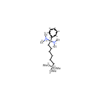 CCN(CC)[Si](CCCCCC[Si](OC)(OC)OC)(c1ccccc1)N(CC)CC